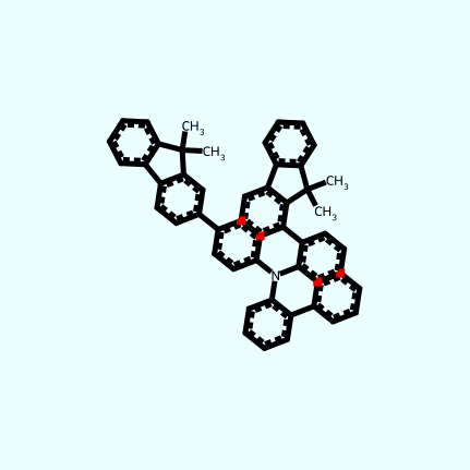 CC1(C)c2ccccc2-c2ccc(-c3ccc(N(c4ccccc4-c4ccccc4)c4ccccc4-c4cccc5c4C(C)(C)c4ccccc4-5)cc3)cc21